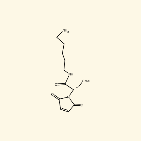 COC[C@@H](C(=O)NCCCCCN)N1C(=O)C=CC1=O